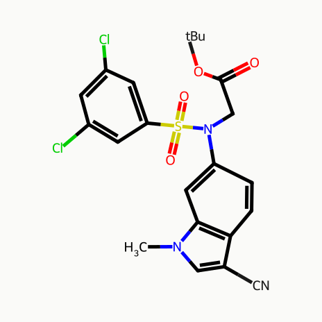 Cn1cc(C#N)c2ccc(N(CC(=O)OC(C)(C)C)S(=O)(=O)c3cc(Cl)cc(Cl)c3)cc21